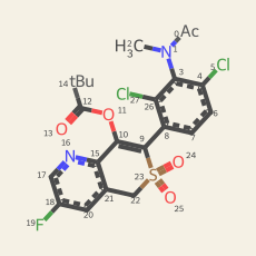 CC(=O)N(C)c1c(Cl)ccc(C2=C(OC(=O)C(C)(C)C)c3ncc(F)cc3CS2(=O)=O)c1Cl